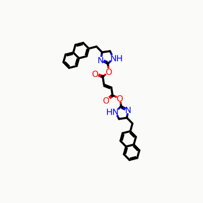 O=C(/C=C/C(=O)OC1=NC(Cc2ccc3ccccc3c2)CN1)OC1=NC(Cc2ccc3ccccc3c2)CN1